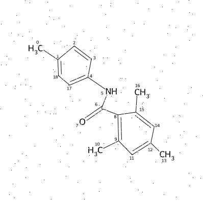 Cc1ccc(NC(=O)c2c(C)cc(C)cc2C)cc1